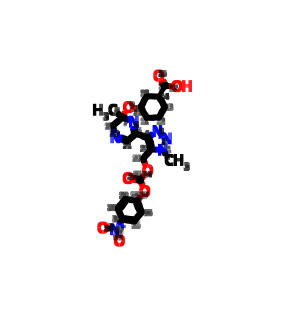 Cn1nnc(C2=NC(C)(O[C@H]3CCC[C@H](C(=O)O)C3)CN=C2)c1COC(=O)Oc1ccc([N+](=O)[O-])cc1